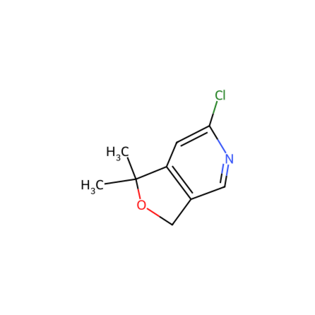 CC1(C)OCc2cnc(Cl)cc21